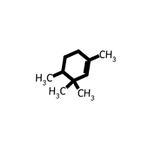 CC1=CC(C)(C)C(C)CC1